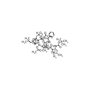 CC(=O)O[C@@H]1C2=C(C)[C@@H](OC(=O)[C@H](O)[C@H](CC(C)C)NC(=O)OC(C)(C)C)C[C@@](O)([C@@H](OC(=O)c3ccccc3)[C@@H]3[C@]4(OC(C)=O)CO[C@@H]4C[C@@H]4O[C@H](C=C(C)C)O[C@@H]1[C@]43C)C2(C)C